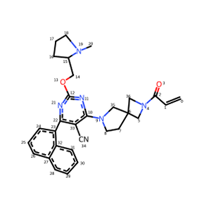 C=CC(=O)N1CC2(CCN(c3nc(OCC4CCCN4C)nc(-c4cccc5ccccc45)c3C#N)C2)C1